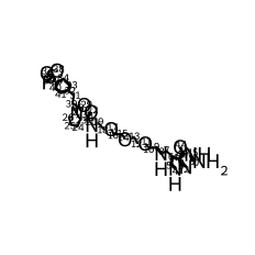 Nc1nc2[nH]cc(CNCCOCCOCCOCCNC(=O)[C@@H]3CCCN3C(=O)CCc3ccc(S(=O)(=O)F)cc3)c2c(=O)[nH]1